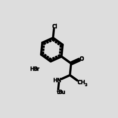 Br.CC(NC(C)(C)C)C(=O)c1cccc(Cl)c1